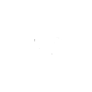 CCCCCCCC(CC(N)=O)N1CC[C@H]1C(=O)O